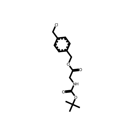 CC(C)(C)OC(=O)NCC(=O)OCc1ccc(CCl)cc1